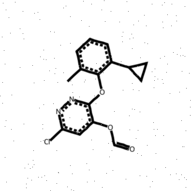 Cc1cccc(C2CC2)c1Oc1nnc(Cl)cc1OC=O